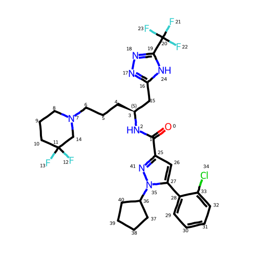 O=C(N[C@@H](CCCN1CCCC(F)(F)C1)Cc1nnc(C(F)(F)F)[nH]1)c1cc(-c2ccccc2Cl)n(C2CCCC2)n1